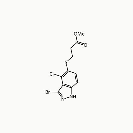 COC(=O)CCSc1ccc2[nH]nc(Br)c2c1Cl